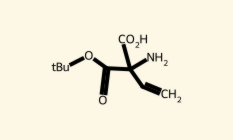 C=CC(N)(C(=O)O)C(=O)OC(C)(C)C